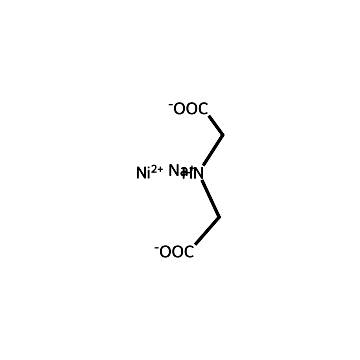 O=C([O-])CNCC(=O)[O-].[Na+].[Ni+2]